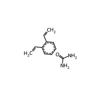 C=Cc1ccccc1C=C.NC(N)=O